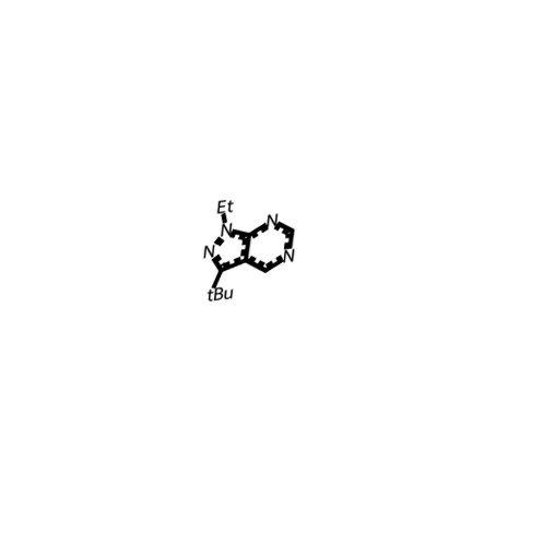 CCn1nc(C(C)(C)C)c2cncnc21